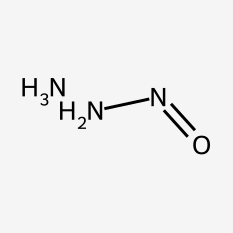 N.NN=O